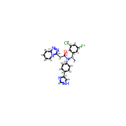 C[C@H](c1cc(F)cc(Cl)c1)N(C(=O)Cc1nnc2ccccn12)c1ccc(-c2c[nH]cn2)cc1